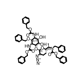 C[C@H]([C@@H]1CC[C@@H](N=[N+]=[N-])[C@@H](O[C@H]2[C@H](O)[C@@H](O)[C@H](NC(=O)OCc3ccccc3)[C@@H](OCc3ccccc3)[C@@H]2NC(=O)OCc2ccccc2)O1)N(Cc1ccccc1)C(=O)OCc1ccccc1